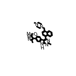 COc1cc2c(cc1-c1c(C)noc1C)[nH]c1nc(C)nc(-c3ccc(CN4CCN(C)CC4)c4ccccc34)c12